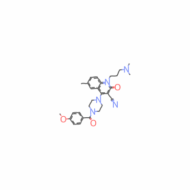 COc1ccc(C(=O)N2CCN(c3c(C#N)c(=O)n(CCCN(C)C)c4ccc(C)cc34)CC2)cc1